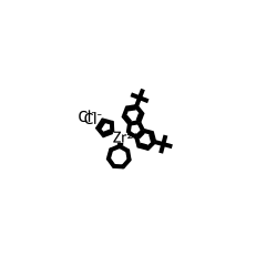 CC(C)(C)c1ccc2c(c1)-c1cc(C(C)(C)C)ccc1[CH]2[Zr+2]([C]1=CC=CC1)=[C]1CCCCCC1.[Cl-].[Cl-]